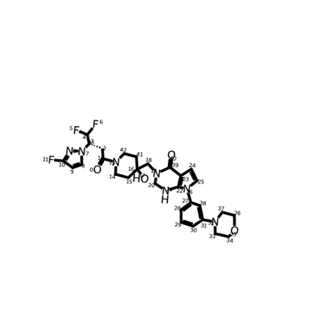 O=C(C[C@@H](C(F)F)n1ccc(F)n1)N1CCC(O)(CN2CNc3c(ccn3-c3cccc(N4CCOCC4)c3)C2=O)CC1